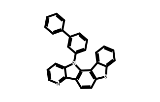 c1ccc(-c2cccc(-n3c4cccnc4c4ccc5sc6ccccc6c5c43)c2)cc1